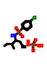 CCC(C)C([CH2][Na])NS(=O)(=O)c1ccc(Cl)cc1.O=S(=O)(O)O